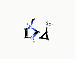 CCCC1CC1.Cn1ccnc1